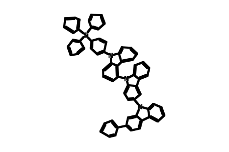 c1ccc(-c2ccc3c4ccccc4n(-c4ccc5c(c4)c4ccccc4n5-c4cccc5c4c4ccccc4n5-c4ccc([Si](c5ccccc5)(c5ccccc5)c5ccccc5)cc4)c3c2)cc1